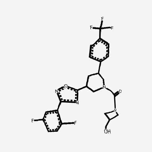 O=C(N1CC(O)C1)N1CC(c2ccc(C(F)(F)F)cc2)CC(c2nc(-c3cc(F)ccc3F)no2)C1